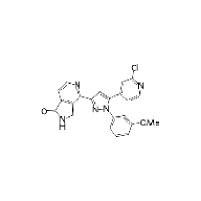 COc1cccc(-n2nc(-c3nccc4c3CNC4=O)cc2-c2ccnc(Cl)c2)c1